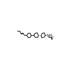 C=CC[SiH2][C@H]1CC[C@H](C2CCC(C3CCC(CC=CCC)CC3)CC2)CC1